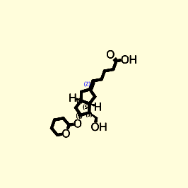 O=C(O)CCC/C=C1/C[C@H]2C[C@@H](OC3CCCCO3)[C@H](CO)[C@H]2C1